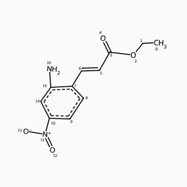 CCOC(=O)/C=C/c1ccc([N+](=O)[O-])cc1N